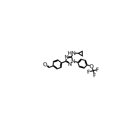 O=Cc1ccc(-c2nc(NC3CC3)n(-c3ccc(OC(F)(F)F)cc3)n2)cc1